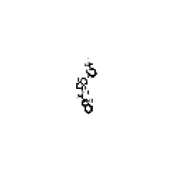 O=C(N[C@H]1CC[C@@H]2CN(c3cccc(C(F)(F)F)n3)C[C@@H]21)c1cc2ccccc2[nH]1